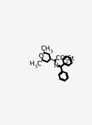 CCOC(=O)C(N=C(c1ccccc1)c1ccccc1)[C@@H]1C[C@@H](C)O[C@@H](C)C1